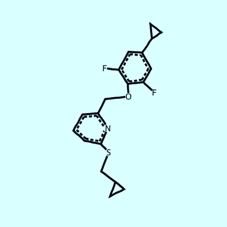 Fc1cc(C2CC2)cc(F)c1OCc1cccc(SCC2CC2)n1